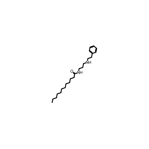 CCCCCCCCCCCC(=O)NCCCNCCc1ccccc1